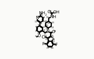 COc1ccc(-c2ccc(N)nc2)cc1CN(C(=O)c1sc2c(F)ccc(F)c2c1Cl)C1CCC(CNC(=O)O)CC1